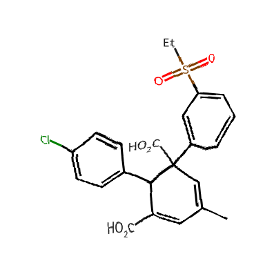 CCS(=O)(=O)c1cccc(C2(C(=O)O)C=C(C)C=C(C(=O)O)C2c2ccc(Cl)cc2)c1